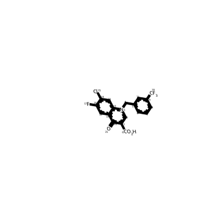 O=C(O)c1cn(Cc2cccc(C(F)(F)F)c2)c2cc(Cl)c(F)cc2c1=O